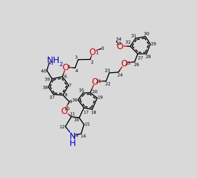 COCCCOc1cc(COC2CNCCC2c2ccc(OCCCOCc3ccccc3OC)cc2)ccc1CN